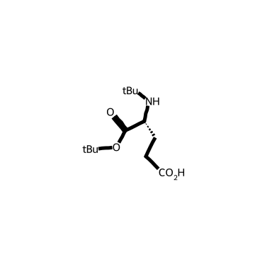 CC(C)(C)N[C@H](CCC(=O)O)C(=O)OC(C)(C)C